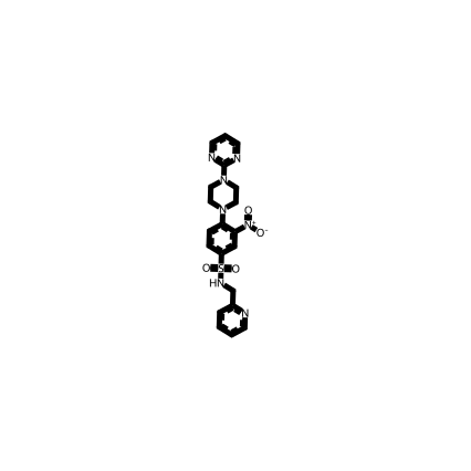 O=[N+]([O-])c1cc(S(=O)(=O)NCc2ccccn2)ccc1N1CCN(c2ncccn2)CC1